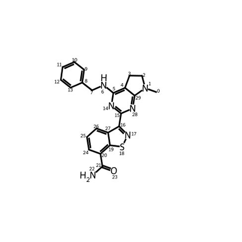 CN1CCc2c(NCc3ccccc3)nc(-c3nsc4c(C(N)=O)cccc34)nc21